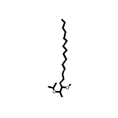 [CH2]C(OC(C)C)C(CCCCCCCCCCCCCCC)OC